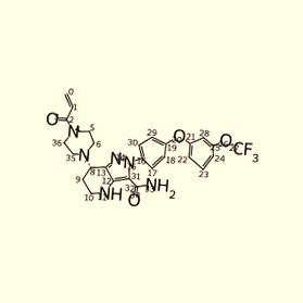 C=CC(=O)N1CCN([C@H]2CCNc3c2nn(-c2ccc(Oc4cccc(OC(F)(F)F)c4)cc2)c3C(N)=O)CC1